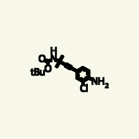 CC(C)(C#Cc1ccc(N)c(Cl)c1)NC(=O)OC(C)(C)C